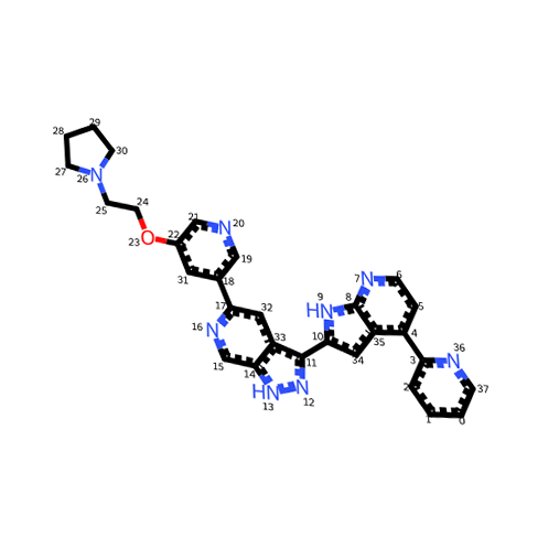 c1ccc(-c2ccnc3[nH]c(-c4n[nH]c5cnc(-c6cncc(OCCN7CCCC7)c6)cc45)cc23)nc1